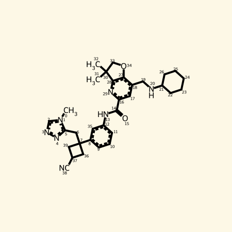 Cn1cnnc1CC1(c2cccc(NC(=O)c3cc(CNC4CCCCC4)c4c(n3)C(C)(C)CO4)c2)CC(C#N)C1